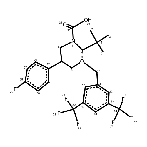 CC(C)(C)CN(CC(COCc1cc(C(F)(F)F)cc(C(F)(F)F)c1)c1ccc(F)cc1)C(=O)O